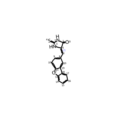 O=C1NC(=S)N/C1=C\c1ccc2oc3ccccc3c2c1